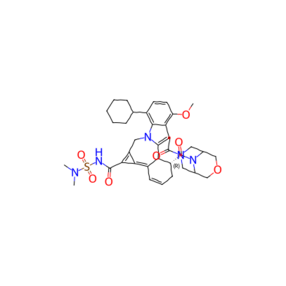 COc1ccc(C2CCCCC2)c2c1cc1n2CC2=C(C(=O)NS(=O)(=O)N(C)C)C2=C2C=CC[C@@H](C(=O)N3C4COCC3CN(C(C)=O)C4)C21